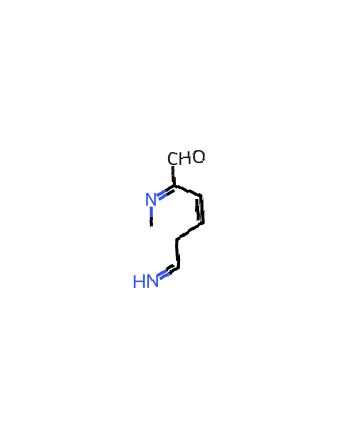 C/N=C(C=O)\C=C/CC=N